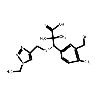 CCn1cc(CO[C@@H](c2ccc(C)c(CO)c2)C(C)(C)C(=O)O)nn1